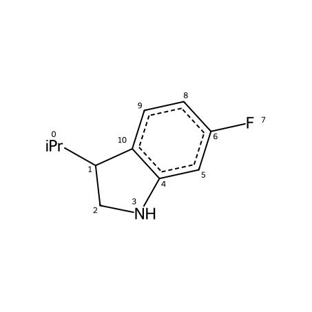 CC(C)C1CNc2cc(F)ccc21